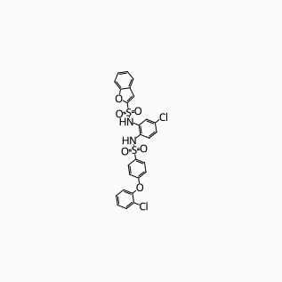 O=S(=O)(Nc1ccc(Cl)cc1NS(=O)(=O)c1cc2ccccc2o1)c1ccc(Oc2ccccc2Cl)cc1